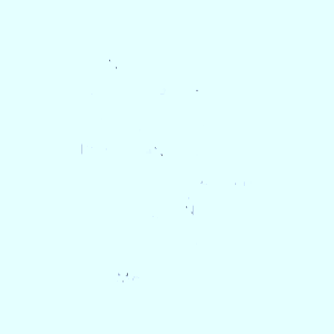 COC1CN(C(=O)c2ccc3cncc(Br)c3n2)C1